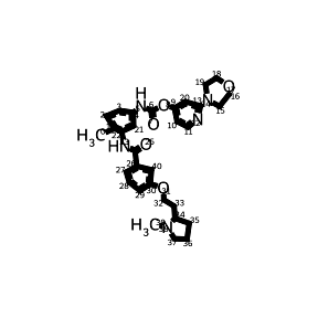 Cc1ccc(NC(=O)Oc2ccnc(N3CCOCC3)c2)cc1NC(=O)c1cccc(OCCC2CCCN2C)c1